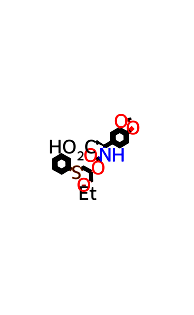 CCOCC(CSc1ccccc1)OC(=O)N[C@@H](CC(=O)O)c1ccc2c(c1)OCO2